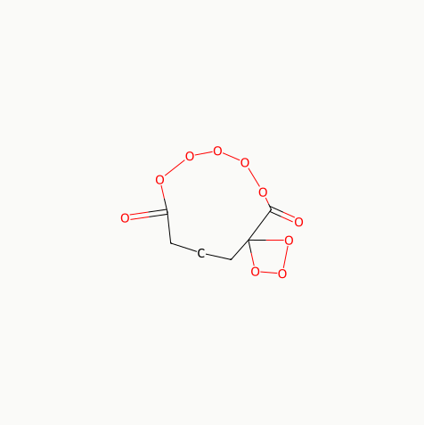 O=C1CCCC2(OOO2)C(=O)OOOOO1